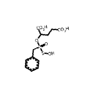 O=C(O)CCC(OP(=O)(Cc1ccccc1)SO)C(=O)O